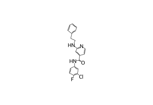 O=C(Nc1ccc(F)c(Cl)c1)c1ccnc(NCCc2ccccc2)c1